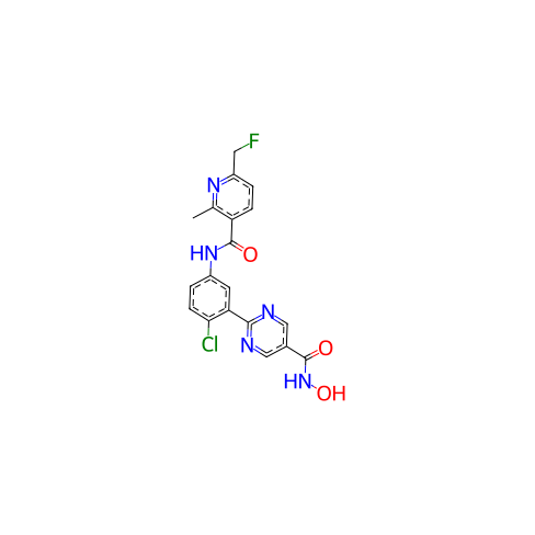 Cc1nc(CF)ccc1C(=O)Nc1ccc(Cl)c(-c2ncc(C(=O)NO)cn2)c1